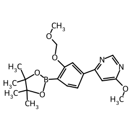 COCOc1cc(-c2cc(OC)ncn2)ccc1B1OC(C)(C)C(C)(C)O1